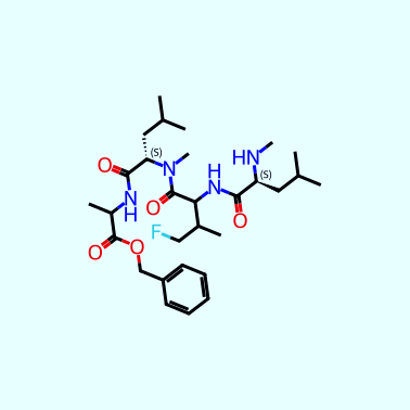 CN[C@@H](CC(C)C)C(=O)NC(C(=O)N(C)[C@@H](CC(C)C)C(=O)NC(C)C(=O)OCc1ccccc1)C(C)CF